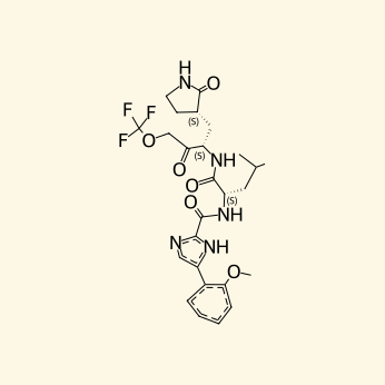 COc1ccccc1-c1cnc(C(=O)N[C@@H](CC(C)C)C(=O)N[C@@H](C[C@@H]2CCNC2=O)C(=O)COC(F)(F)F)[nH]1